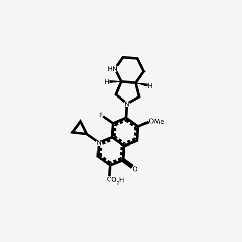 COc1cc2c(=O)c(C(=O)O)cn(C3CC3)c2c(F)c1N1C[C@H]2CCCN[C@H]2C1